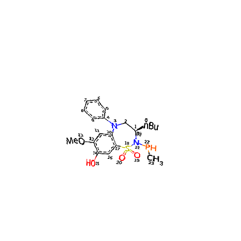 CCCC[C@@H]1CN(c2ccccc2)c2cc(OC)c(O)cc2S(=O)(=O)N1PC